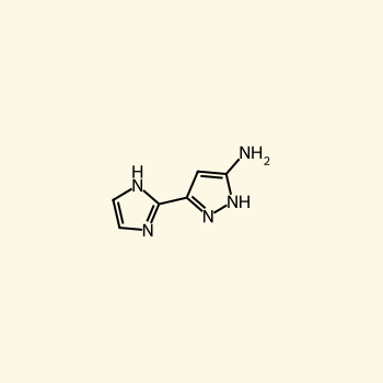 Nc1cc(-c2ncc[nH]2)n[nH]1